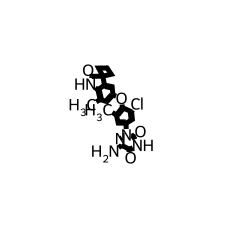 Cc1cc(Oc2c(C)cc(-n3nc(N)c(=O)[nH]c3=O)cc2Cl)cc2c1NC(=O)C21CCC1